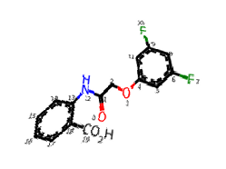 O=C(COc1cc(F)cc(F)c1)Nc1ccccc1C(=O)O